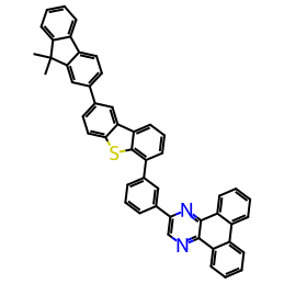 CC1(C)c2ccccc2-c2ccc(-c3ccc4sc5c(-c6cccc(-c7cnc8c9ccccc9c9ccccc9c8n7)c6)cccc5c4c3)cc21